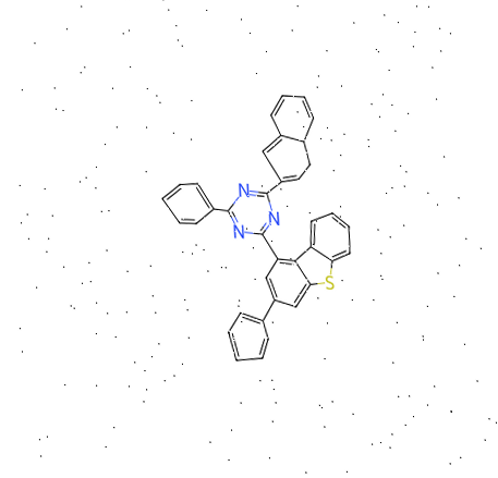 C1=CC2=CC(c3nc(-c4ccccc4)nc(-c4cc(-c5ccccc5)cc5sc6ccccc6c45)n3)=CCC2C=C1